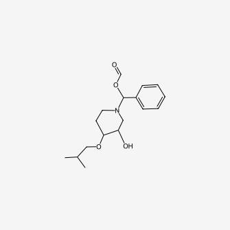 CC(C)COC1CCN(C(OC=O)c2ccccc2)CC1O